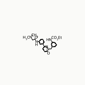 CCOC(=O)Nc1cccc(Cn2nc(-c3cccc(NC(=O)CN(C)C)c3)ccc2=O)c1